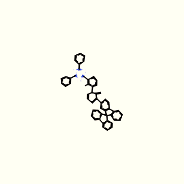 C=C1C(c2ccc3c(c2)C2(c4ccccc4-c4ccccc42)c2ccccc2-3)=CC=CC1c1cccc(-c2nc(-c3ccccc3)nc(-c3ccccc3)n2)c1C